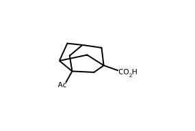 CC(=O)C12CC3CC1CC(C(=O)O)(C3)C2